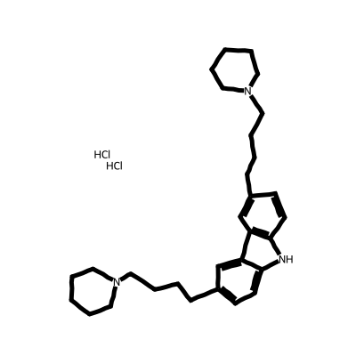 Cl.Cl.c1cc2[nH]c3ccc(CCCCN4CCCCC4)cc3c2cc1CCCCN1CCCCC1